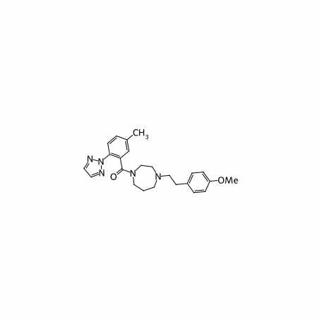 COc1ccc(CCN2CCCN(C(=O)c3cc(C)ccc3-n3nccn3)CC2)cc1